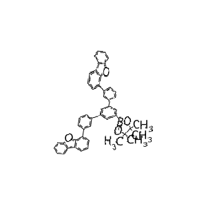 CC1(C)OB(c2cc(-c3cccc(-c4cccc5c4oc4ccccc45)c3)cc(-c3cccc(-c4cccc5c4oc4ccccc45)c3)c2)OC1(C)C